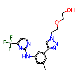 Cc1cc(Nc2nccc(C(F)(F)F)n2)cc(-c2cn(CCOCCO)nn2)c1